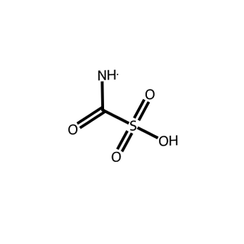 [NH]C(=O)S(=O)(=O)O